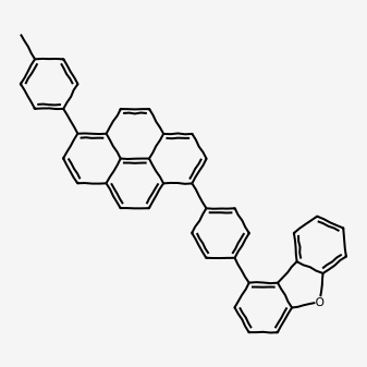 Cc1ccc(-c2ccc3ccc4c(-c5ccc(-c6cccc7oc8ccccc8c67)cc5)ccc5ccc2c3c54)cc1